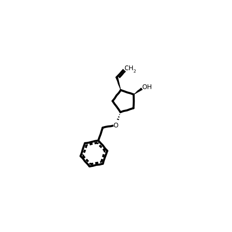 C=C[C@@H]1C[C@@H](OCc2ccccc2)C[C@@H]1O